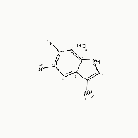 Cl.Nc1c[nH]c2cc(F)c(Br)cc12